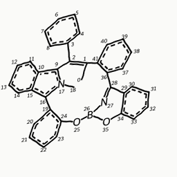 C/C1=C(/c2ccccc2)c2c3ccccc3c(n2C)-c2ccccc2OB2N=C(c3ccccc3O2)c2ccccc21